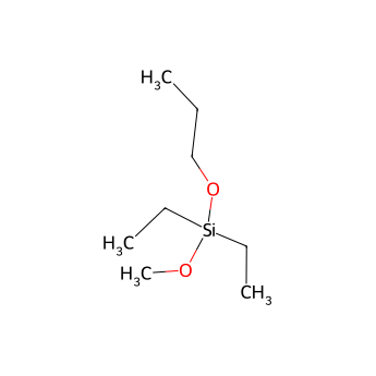 CCCO[Si](CC)(CC)OC